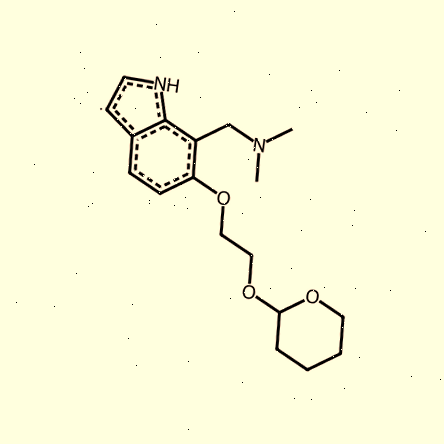 CN(C)Cc1c(OCCOC2CCCCO2)ccc2[c]c[nH]c12